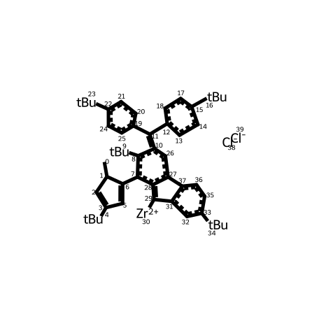 CC1C=C(C(C)(C)C)C=C1c1c(C(C)(C)C)c(=C(c2ccc(C(C)(C)C)cc2)c2ccc(C(C)(C)C)cc2)cc2c1=[C]([Zr+2])c1cc(C(C)(C)C)ccc1-2.[Cl-].[Cl-]